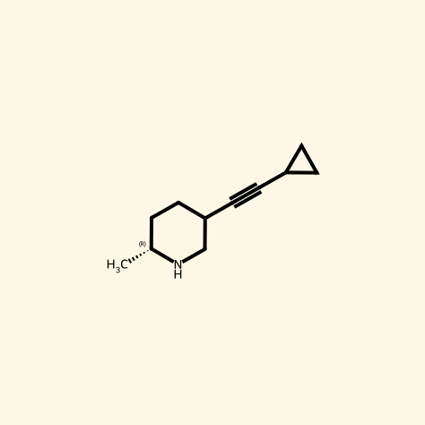 C[C@@H]1CCC(C#CC2CC2)CN1